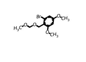 COCOCc1c(Br)cc(OC)cc1OC